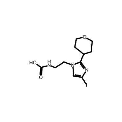 O=C(O)NCCn1cc(I)nc1C1CCOCC1